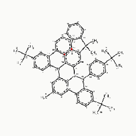 Cc1cc2c3c(c1)N(c1ccc(C(C)(C)C)cc1-c1ccccc1)c1cc4c(cc1B3N(c1ccc(C(C)(C)C)cc1)c1cc(C(C)(C)C)ccc1-2)C(C)(C)c1ccccc1-4